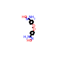 N/C(=N\O)c1ccc(OCOc2ccc(/C(N)=N/O)cc2)cc1